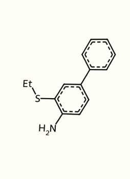 CCSc1cc(-c2ccccc2)ccc1N